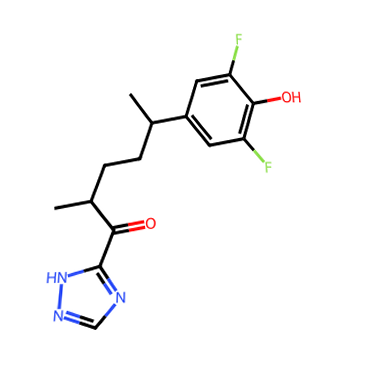 CC(CCC(C)c1cc(F)c(O)c(F)c1)C(=O)c1ncn[nH]1